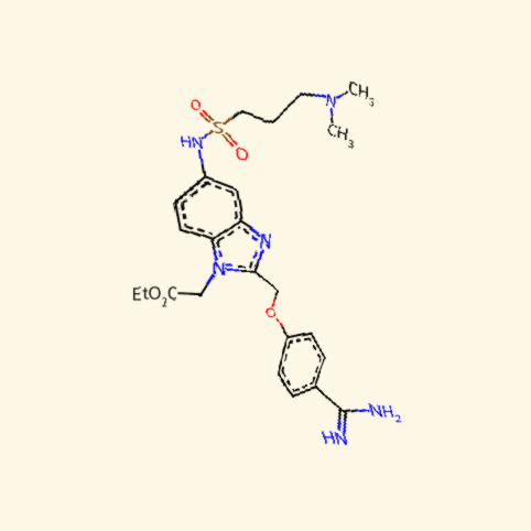 CCOC(=O)Cn1c(COc2ccc(C(=N)N)cc2)nc2cc(NS(=O)(=O)CCCN(C)C)ccc21